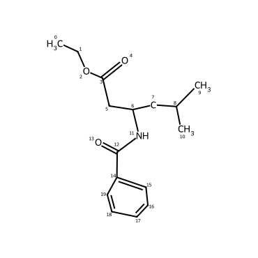 CCOC(=O)CC(CC(C)C)NC(=O)c1ccccc1